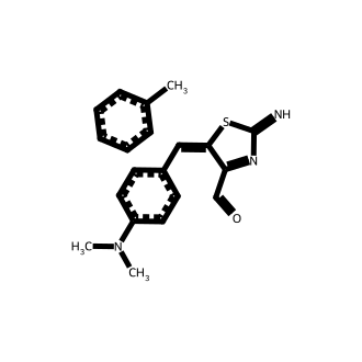 CN(C)c1ccc(C=C2SC(=N)N=C2C=O)cc1.Cc1ccccc1